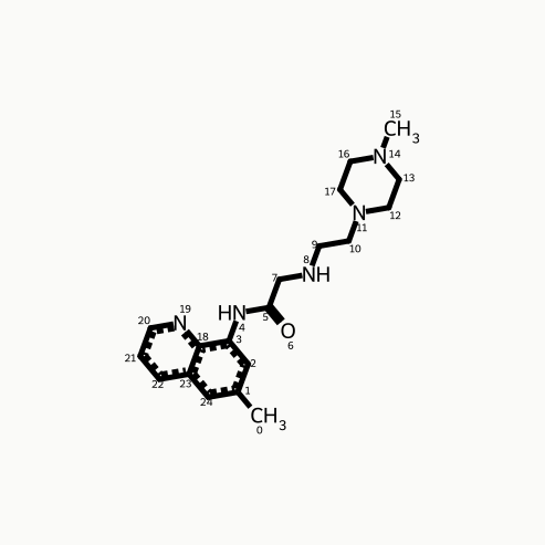 Cc1cc(NC(=O)CNCCN2CCN(C)CC2)c2ncccc2c1